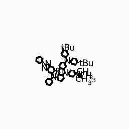 CC(C)(C)c1ccc(N(c2ccc(C(C)(C)C)cc2)c2ccc3c(c2)N(c2ccc([Si](C)(C)C)cc2)c2cccc4c2B3c2cc3nn(-c5ccccc5)nc3cc2N4c2ccccc2)cc1